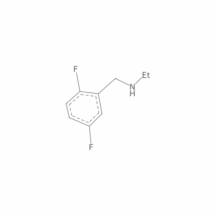 CCNCc1cc(F)ccc1F